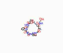 C/C=C(\C)[C@H]1OC(=O)[C@@H](C)NC(=O)[C@H](C(C)CC)NC(=O)CN(C)C(=O)[C@@H](Cc2ccccc2)N(C)C(=O)[C@H](C)NC(=O)[C@@H](CC(C)C)OC(=O)/C(C)=C/C[C@H](OC(=O)NCCO)[C@@H]1C